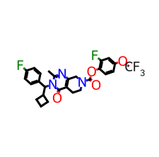 Cc1nc2c(c(=O)n1C(c1ccc(F)cc1)C1CCC1)CCN(C(=O)Oc1ccc(OC(F)(F)F)cc1F)C2